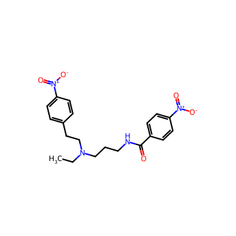 CCN(CCCNC(=O)c1ccc([N+](=O)[O-])cc1)CCc1ccc([N+](=O)[O-])cc1